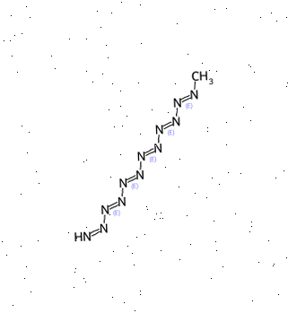 C/N=N/N=N/N=N/N=N/N=N/N=N